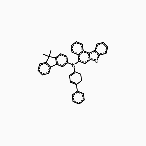 CC1(C)c2ccccc2-c2cc(N(C3=CC=C(c4ccccc4)CC3)c3cc4oc5ccccc5c4c4ccccc34)ccc21